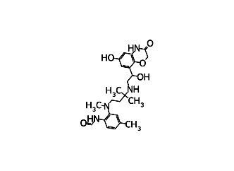 Cc1ccc(NC=O)c(N(C)CCC(C)(C)NCC(O)c2cc(O)cc3c2OCC(=O)N3)c1